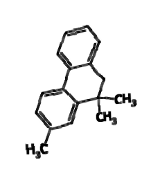 Cc1ccc2c(c1)C(C)(C)Cc1ccccc1-2